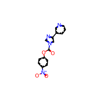 O=C(Oc1ccc([N+](=O)[O-])cc1)n1cnc(-c2cccnc2)c1